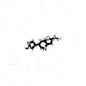 Cn1cc(-c2cnc3cc(SI)oc3c2)cn1